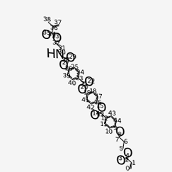 C=CC(=O)OCCCOc1ccc(C(=O)Oc2ccc(OC(=O)c3ccc(OC(=O)NCCOC(=O)C(=C)C)cc3)cc2)cc1